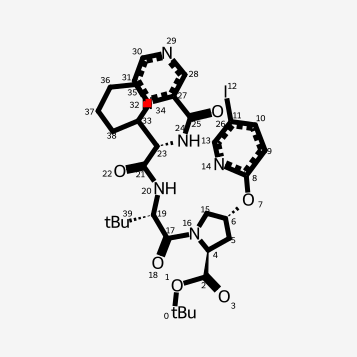 CC(C)(C)OC(=O)[C@@H]1C[C@@H](Oc2ccc(I)cn2)CN1C(=O)[C@@H](NC(=O)[C@@H](NC(=O)c1cnccn1)C1CCCCC1)C(C)(C)C